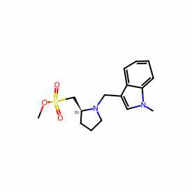 COS(=O)(=O)C[C@@H]1CCCN1Cc1cn(C)c2ccccc12